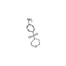 Nc1ccc(S(=O)(=O)C2CCOCC2)cc1